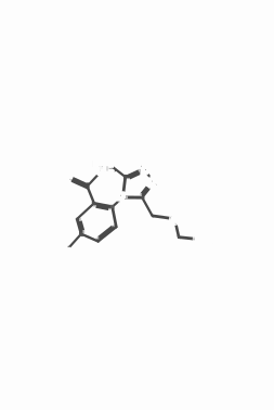 CCOCc1nnc(C)n1-c1ccc(Cl)cc1C(=O)O